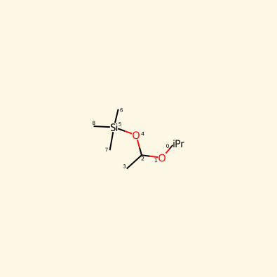 CC(C)OC(C)O[Si](C)(C)C